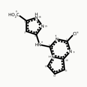 O=C(O)c1cc(Nc2nc(Cl)nc3cccn23)n[nH]1